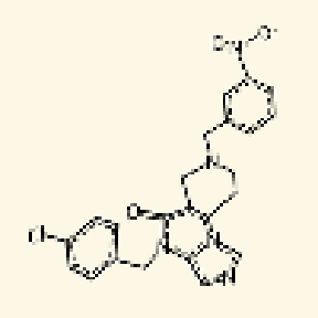 O=c1c2c(n3cncc3n1Cc1ccc(Cl)cc1)CCN(Cc1cccc([N+](=O)[O-])c1)C2